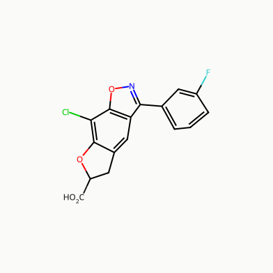 O=C(O)C1Cc2cc3c(-c4cccc(F)c4)noc3c(Cl)c2O1